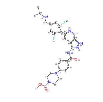 COC(=O)N1CCN(c2ccc(C(=O)Nc3n[nH]c4cnc(-c5c(F)cc(CNC(C)C)cc5F)cc34)cc2)CC1